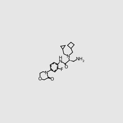 NC[C@@H](C(=O)Nc1ccc(N2CCOCC2=O)cc1F)N(CC1CCC1)CC1CC1